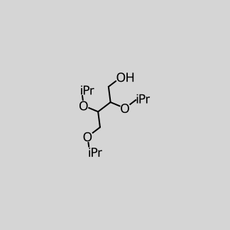 CC(C)OCC(OC(C)C)C(CO)OC(C)C